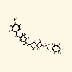 Fc1ccc(Cc2nsc(NC3CC4(CC(NCc5ccccc5)C4)C3)n2)cc1